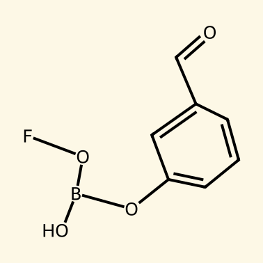 O=Cc1cccc(OB(O)OF)c1